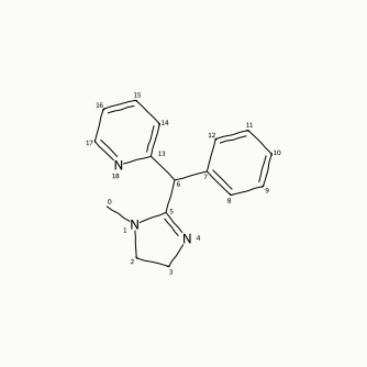 CN1CCN=C1C(c1ccccc1)c1ccccn1